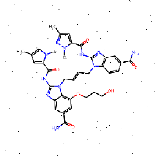 CCn1cc(C)cc1C(=O)Nc1nc2cc(C(N)=O)cc(OCCCO)c2n1C/C=C/Cn1c(NC(=O)c2cc(C)nn2CC)nc2cc(C(N)=O)ccc21